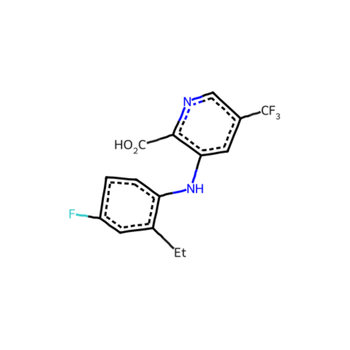 CCc1cc(F)ccc1Nc1cc(C(F)(F)F)cnc1C(=O)O